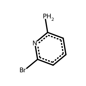 Pc1cccc(Br)n1